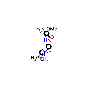 COc1cc(C(=O)NC[C@H]2CC[C@@H](Nc3nccc(N(C)C)n3)CC2)ccc1[N+](=O)[O-]